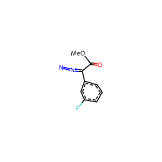 COC(=O)C(=[N+]=[N-])c1cccc(F)c1